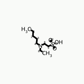 CCCCCN(CC)CCS(=O)(=O)O